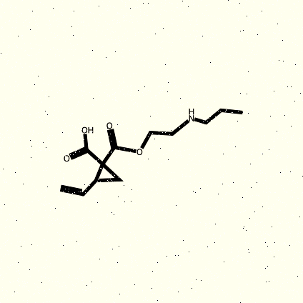 C=CC1CC1(C(=O)O)C(=O)OCCNCCC